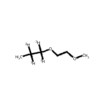 [2H]C([2H])(C)C([2H])([2H])OCCOC